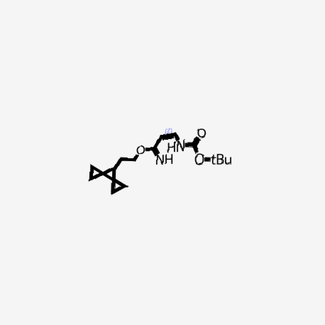 CC(C)(C)OC(=O)N/C=C\C(=N)OCCC1C2(CC2)C12CC2